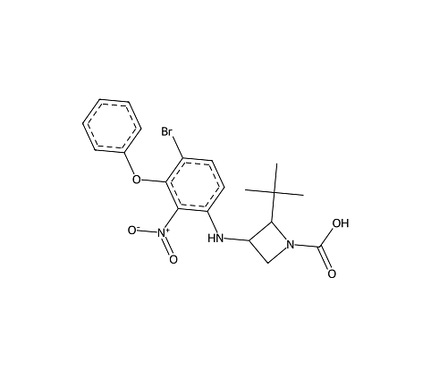 CC(C)(C)C1C(Nc2ccc(Br)c(Oc3ccccc3)c2[N+](=O)[O-])CN1C(=O)O